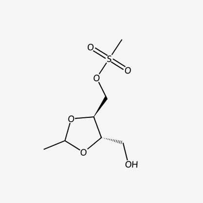 CC1O[C@@H](CO)[C@H](COS(C)(=O)=O)O1